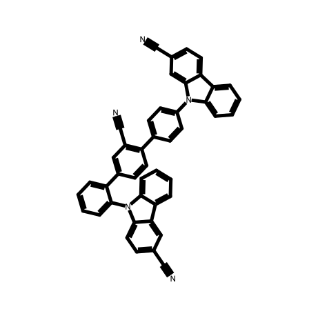 N#Cc1ccc2c(c1)c1ccccc1n2-c1ccccc1-c1ccc(-c2ccc(-n3c4ccccc4c4ccc(C#N)cc43)cc2)c(C#N)c1